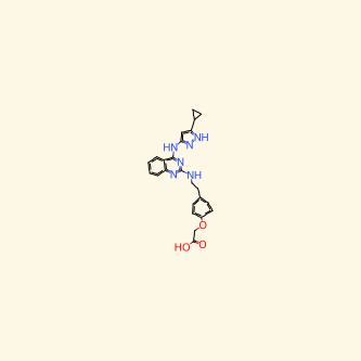 O=C(O)COc1ccc(CCNc2nc(Nc3cc(C4CC4)[nH]n3)c3ccccc3n2)cc1